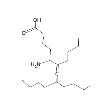 CCCCC(=C=C(CCCC)C(N)CCCC(=O)O)CCCC